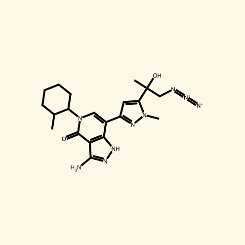 CC1CCCCC1n1cc(-c2cc(C(C)(O)CN=[N+]=[N-])n(C)n2)c2[nH]nc(N)c2c1=O